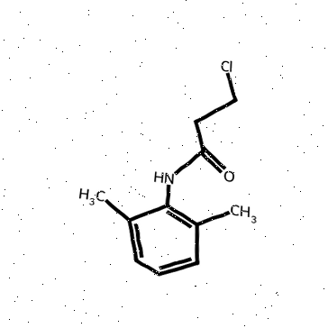 Cc1cccc(C)c1NC(=O)CCCl